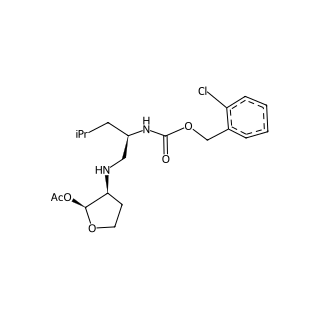 CC(=O)O[C@@H]1OCC[C@@H]1NC[C@@H](CC(C)C)NC(=O)OCc1ccccc1Cl